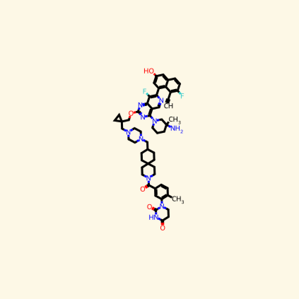 C#Cc1c(F)ccc2cc(O)cc(-c3ncc4c(N5CCCC(C)(N)C5)nc(OCC5(CN6CCN(CC7CCC8(CC7)CCN(C(=O)c7ccc(C)c(N9CCC(=O)NC9=O)c7)CC8)CC6)CC5)nc4c3F)c12